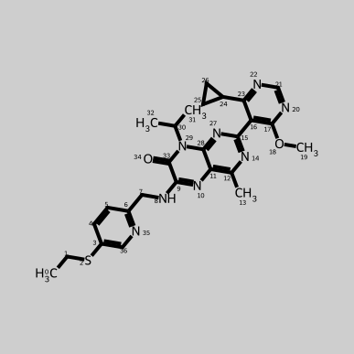 CCSc1ccc(CNc2nc3c(C)nc(-c4c(OC)ncnc4C4CC4)nc3n(C(C)C)c2=O)nc1